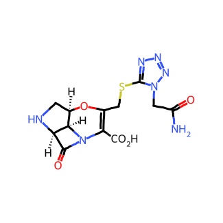 NC(=O)Cn1nnnc1SCC1=C(C(=O)O)N2C(=O)[C@H]3NC[C@@H](O1)[C@H]32